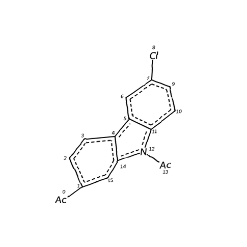 CC(=O)c1ccc2c3cc(Cl)ccc3n(C(C)=O)c2c1